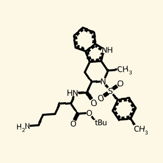 Cc1ccc(S(=O)(=O)N2C(C(=O)NC(CCCCN)C(=O)OC(C)(C)C)Cc3c([nH]c4ccccc34)C2C)cc1